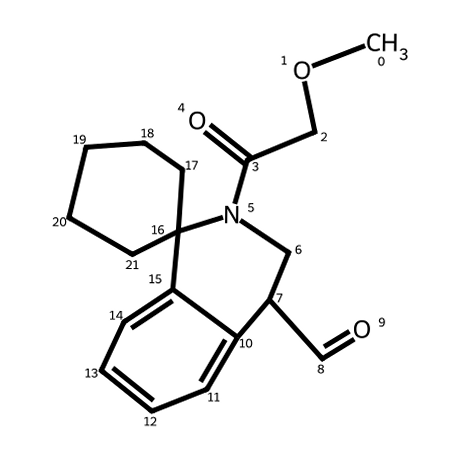 COCC(=O)N1CC(C=O)c2ccccc2C12CCCCC2